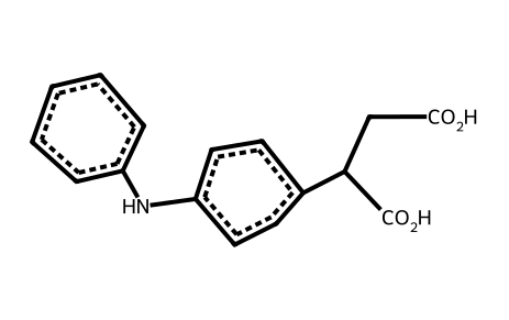 O=C(O)CC(C(=O)O)c1ccc(Nc2ccccc2)cc1